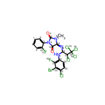 CN1C(=O)N(c2ccccc2F)C(=O)C1=NC(Nc1ccc(Cl)c(Br)c1F)C(Cl)C(Cl)(Cl)Cl